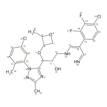 Cc1nc(C(OC2COC2C)[C@@H](O)CN/C=C(\C=N)c2ccc(Cl)c(F)c2F)n(-c2cc(Cl)ccc2C)n1